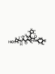 Cc1cc(NC(=O)c2c(C)c(C(=O)C(=O)N[C@]3(C)C[C@H](O)C3)n(C)c2C2CCCC2)ccc1F